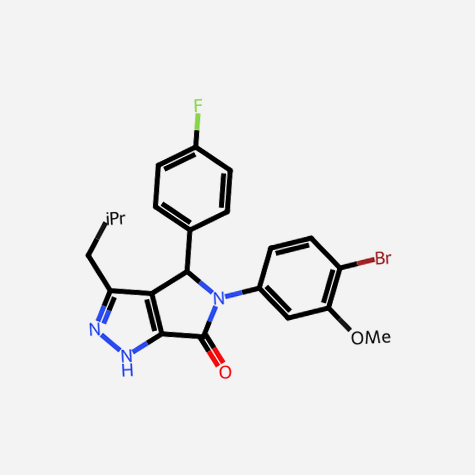 COc1cc(N2C(=O)c3[nH]nc(CC(C)C)c3C2c2ccc(F)cc2)ccc1Br